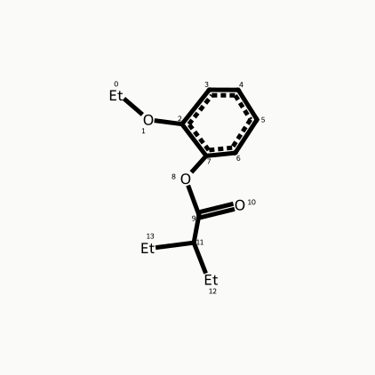 CCOc1ccccc1OC(=O)C(CC)CC